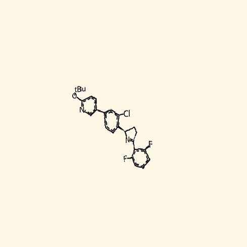 CC(C)(C)Oc1ccc(-c2ccc([C@H]3CCC(c4c(F)cccc4F)=N3)c(Cl)c2)cn1